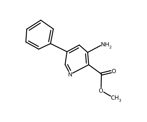 COC(=O)c1ncc(-c2ccccc2)cc1N